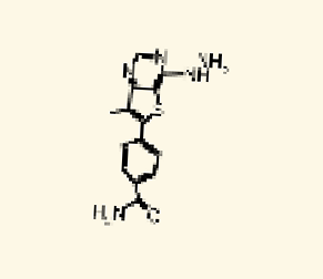 Cc1c(-c2ccc(C(N)=O)cc2)sc2c(NN)ncnc12